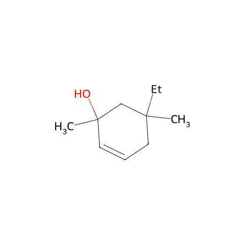 CCC1(C)CC=CC(C)(O)C1